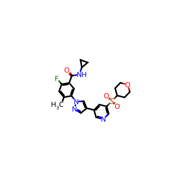 Cc1cc(F)c(C(=O)NC2CC2)cc1-n1cc(-c2cncc(S(=O)(=O)C3CCOCC3)c2)cn1